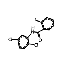 O=C(Nc1cc(Cl)ccc1Cl)c1ccccc1I